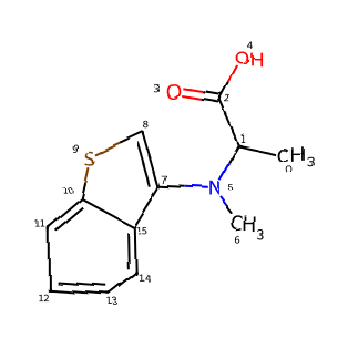 CC(C(=O)O)N(C)c1csc2ccccc12